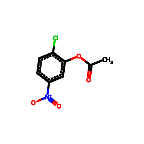 CC(=O)Oc1cc([N+](=O)[O-])ccc1Cl